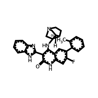 Cc1ccccc1-c1cc2c(N[C@@H]3CN4CCC3CC4)c(-c3nc4ccccc4[nH]3)c(=O)[nH]c2cc1F